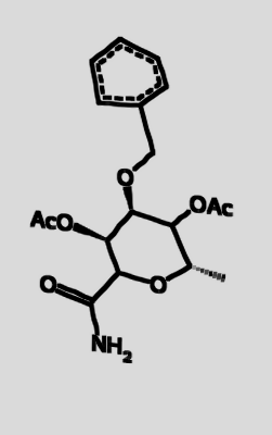 CC(=O)OC1[C@H](C)OC(C(N)=O)[C@@H](OC(C)=O)[C@H]1OCc1ccccc1